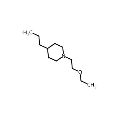 [CH2]CCC1CCN(CCOCC)CC1